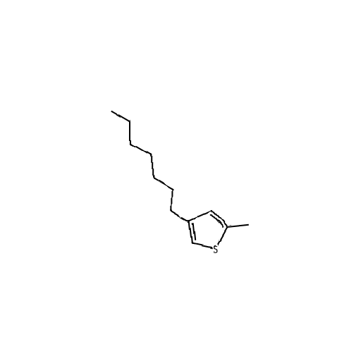 CCCCCCCc1csc(C)c1